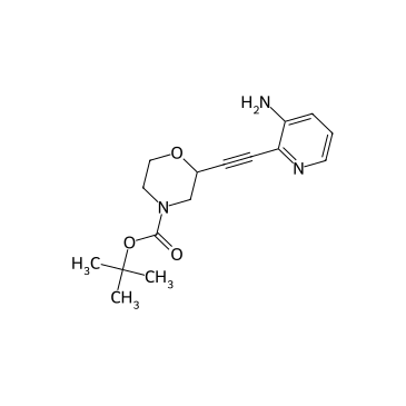 CC(C)(C)OC(=O)N1CCOC(C#Cc2ncccc2N)C1